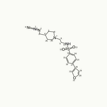 [N-]=[N+]=NCC1CCN(CCNS(=O)(=O)c2ccc(-c3ccoc3)cc2)CC1